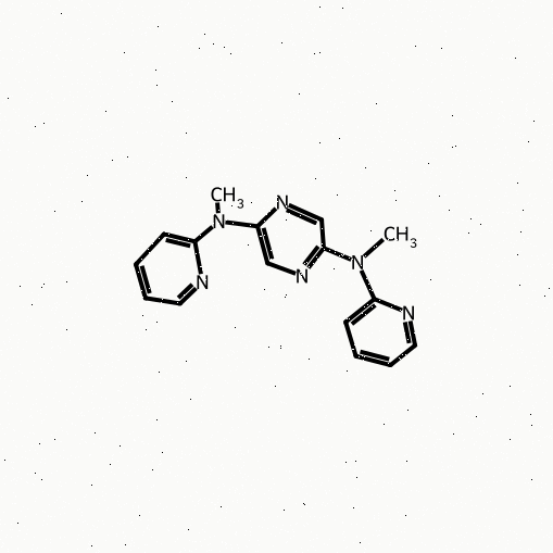 CN(c1ccccn1)c1cnc(N(C)c2ccccn2)cn1